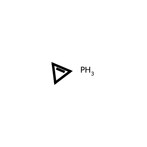 C1=CC1.P